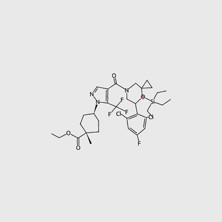 CCOC(=O)[C@]1(C)CC[C@@H](n2ncc(C(=O)N(CC(O[Si](CC)(CC)CC)c3c(Cl)cc(F)cc3Cl)CC3(C)CC3)c2C(F)(F)F)CC1